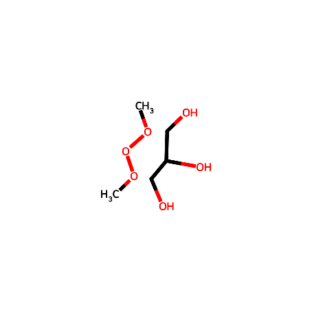 COOOC.OCC(O)CO